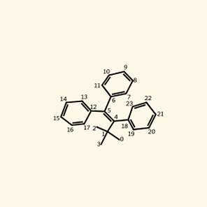 CC(C)(C)C(=C(c1ccccc1)c1ccccc1)c1ccccc1